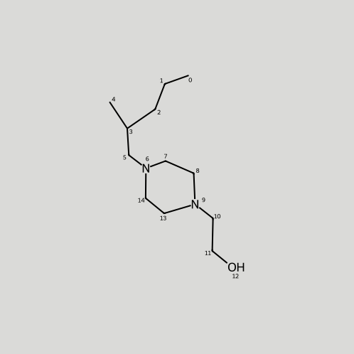 CCCC(C)CN1CCN(CCO)CC1